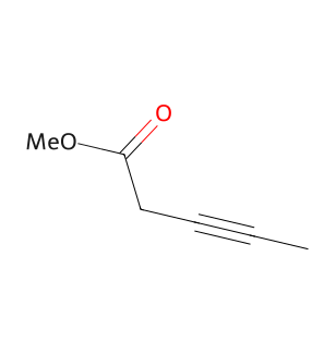 [CH2]OC(=O)CC#CC